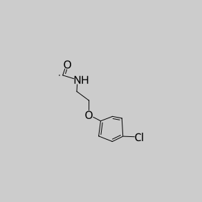 O=[C]NCCOc1ccc(Cl)cc1